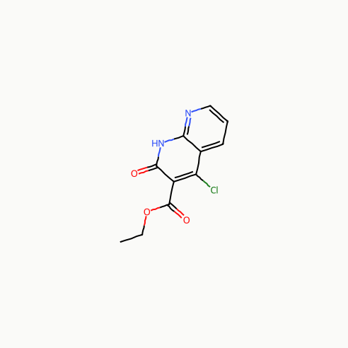 CCOC(=O)c1c(Cl)c2cccnc2[nH]c1=O